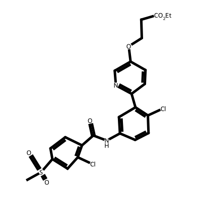 CCOC(=O)CCOc1ccc(-c2cc(NC(=O)c3ccc(S(C)(=O)=O)cc3Cl)ccc2Cl)nc1